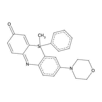 C[Si]1(c2ccccc2)C2=CC(=O)C=CC2=Nc2ccc(N3CCOCC3)cc21